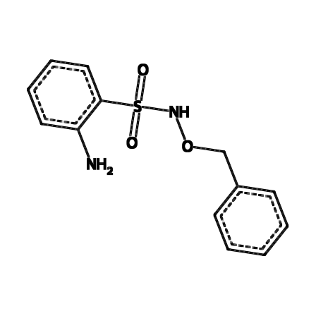 Nc1ccccc1S(=O)(=O)NOCc1ccccc1